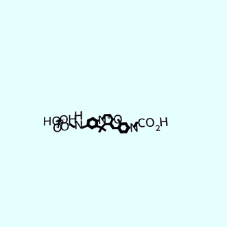 CN(CC(=O)O)c1ccc2c(c1)OC1CC[N+]3=C(C1=C2)C(C)(C)c1cc(CNCCOP(=O)(O)O)ccc13